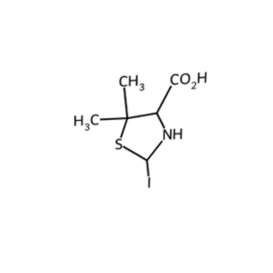 CC1(C)SC(I)NC1C(=O)O